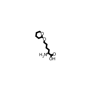 N[C@@H](CCCCOC1CCCCO1)C(=O)O